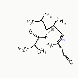 C/C(=C\[C@H](C)[C@H](OC(=O)C(C)C)C(C)C)CC=O